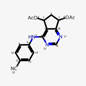 CC(=O)OC1CC(OC(C)=O)c2c(Nc3ccc(C#N)cc3)ncnc21